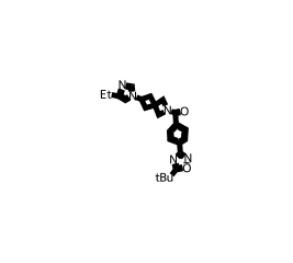 CCc1cn(C2CC3(C2)CN(C(=O)c2ccc(-c4noc(C(C)(C)C)n4)cc2)C3)cn1